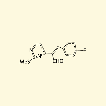 CSc1nccc(C(C=O)=Cc2ccc(F)cc2)n1